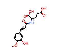 COc1ccc(/C=C/C(=O)N[C@H](CCC(=O)O)C(=O)O)cc1O